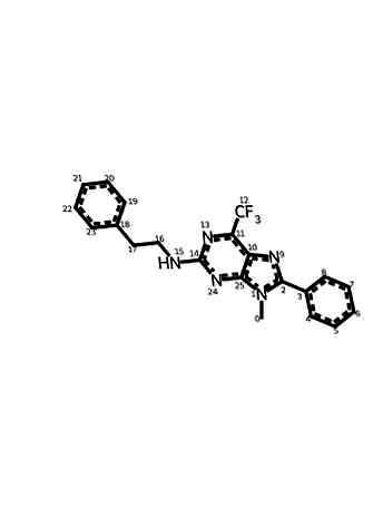 Cn1c(-c2ccccc2)nc2c(C(F)(F)F)nc(NCCc3ccccc3)nc21